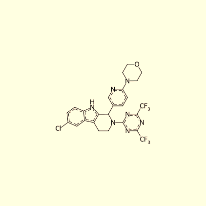 FC(F)(F)c1nc(N2CCc3c([nH]c4ccc(Cl)cc34)C2c2ccc(N3CCOCC3)nc2)nc(C(F)(F)F)n1